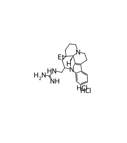 CC[C@]12CCCN3CCc4c(n(c5ccccc45)C(CNC(=N)N)C1)[C@@H]32.Cl.Cl